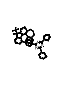 CC(C)(C)C1(C)c2cccc(-c3ccc(-c4nc(-c5ccccc5)nc(-c5ccccc5)n4)cc3)c2-c2c1ccc1c2-c2ccccc2CCC1